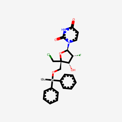 CC(C)(C)[Si](OC[C@@]1(CCl)O[C@@H](n2ccc(=O)[nH]c2=O)[C@H](F)[C@@H]1O)(c1ccccc1)c1ccccc1